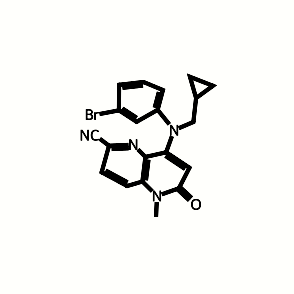 Cn1c(=O)cc(N(CC2CC2)c2cccc(Br)c2)c2nc(C#N)ccc21